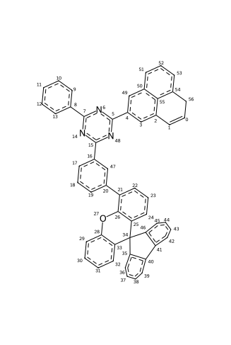 C1=Cc2cc(-c3nc(-c4ccccc4)nc(-c4cccc(-c5cccc6c5Oc5ccccc5C65c6ccccc6-c6ccccc65)c4)n3)cc3cccc(c23)C1